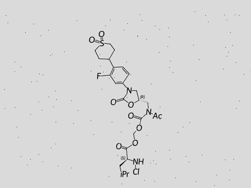 CC(=O)N(C[C@H]1CN(c2ccc(C3CCS(=O)(=O)CC3)c(F)c2)C(=O)O1)C(=O)OCOC(=O)[C@H](CC(C)C)NCl